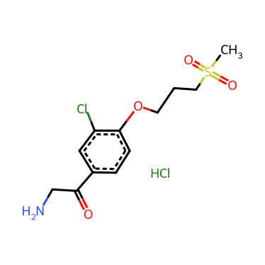 CS(=O)(=O)CCCOc1ccc(C(=O)CN)cc1Cl.Cl